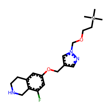 C[Si](C)(C)CCOCn1cc(COc2cc(F)c3c(c2)CCNC3)cn1